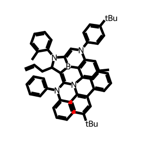 C=CCC1C2=C(N(c3ccccc3)c3ccccc3)N(c3ccc(C(C)(C)C)cc3-c3ccccc3)c3cc(C)cc4c3B2C(=CN4c2ccc(C(C)(C)C)cc2)N1c1ccccc1C